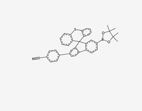 CC1(C)OB(c2ccc3c(c2)C2(c4ccccc4Sc4ccccc42)c2cc(-c4ccc(C#N)cc4)ccc2-3)OC1(C)C